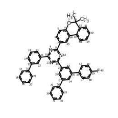 CC1(C)Oc2ccc(-c3nc(-c4cccc(-c5ccccc5)c4)nc(-c4cc(-c5ccccc5)cc(-c5ccc(F)cc5)c4)n3)cc2-c2ccccc21